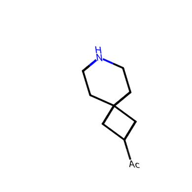 CC(=O)C1CC2(CCNCC2)C1